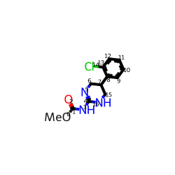 COC(=O)NC1=NCC(c2ccccc2Cl)CN1